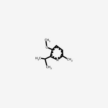 COc1ccc(C)nc1C(C)C